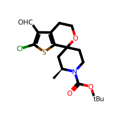 C[C@H]1CC2(CCN1C(=O)OC(C)(C)C)OCCc1c2sc(Cl)c1C=O